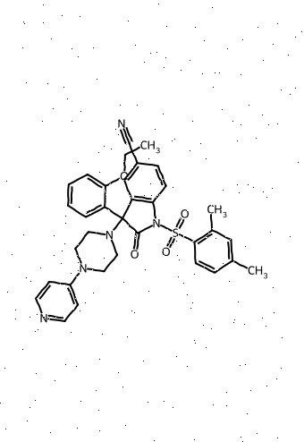 CCOc1ccccc1C1(N2CCN(c3ccncc3)CC2)C(=O)N(S(=O)(=O)c2ccc(C)cc2C)c2ccc(C#N)cc21